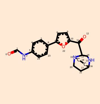 O=CNc1ccc(-c2ccc(C(=O)C3CNC4CCN3CC4)o2)cc1